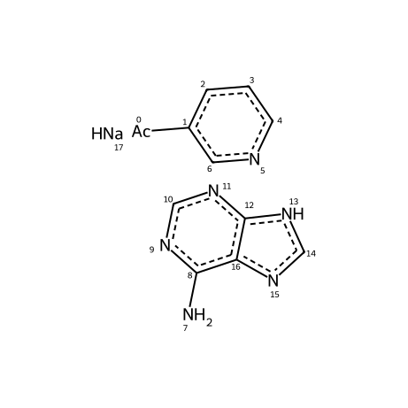 CC(=O)c1cccnc1.Nc1ncnc2[nH]cnc12.[NaH]